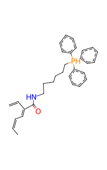 C=C/C(=C\C=C/C)C(=O)NCCCCCC[PH](c1ccccc1)(c1ccccc1)c1ccccc1